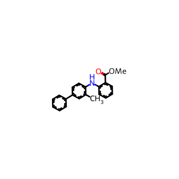 COC(=O)c1ccccc1Nc1ccc(-c2ccccc2)cc1C